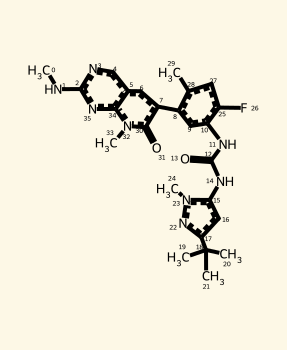 CNc1ncc2cc(-c3cc(NC(=O)Nc4cc(C(C)(C)C)nn4C)c(F)cc3C)c(=O)n(C)c2n1